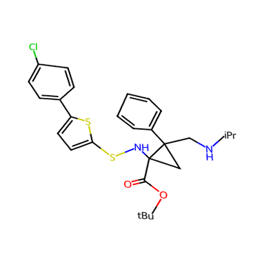 CC(C)NCC1(c2ccccc2)CC1(NSc1ccc(-c2ccc(Cl)cc2)s1)C(=O)OC(C)(C)C